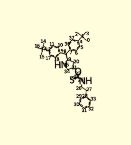 CC(C)(C)c1ccc(C(c2ccc(C(C)(C)C)cc2)[C@H]2C[C@@H](OC(=S)NCCc3ccccc3)CN2)cc1